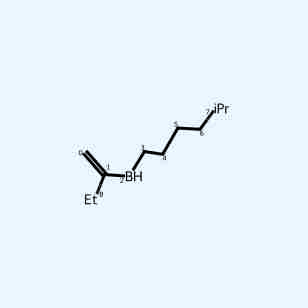 C=C(BCCCCC(C)C)CC